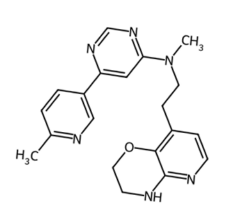 Cc1ccc(-c2cc(N(C)CCc3ccnc4c3OCCN4)ncn2)cn1